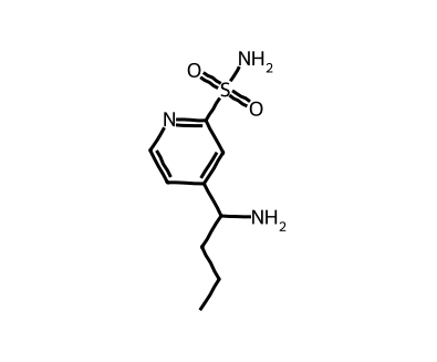 CCCC(N)c1ccnc(S(N)(=O)=O)c1